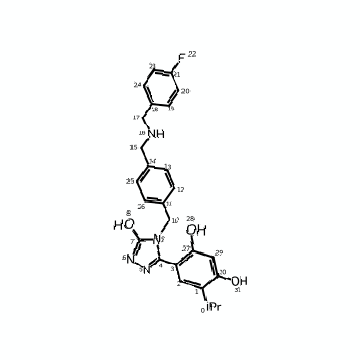 CC(C)c1cc(-c2nnc(O)n2Cc2ccc(CNCc3ccc(F)cc3)cc2)c(O)cc1O